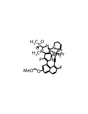 COCOc1cc(-c2nc(C)c3c(c2F)N(C)C(S(C)(=O)=O)N=C3N2CC=CCC2)c2c(C#C[Si](C(C)C)(C(C)C)C(C)C)c(F)ccc2c1